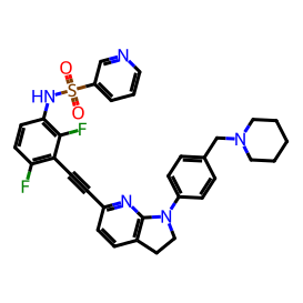 O=S(=O)(Nc1ccc(F)c(C#Cc2ccc3c(n2)N(c2ccc(CN4CCCCC4)cc2)CC3)c1F)c1cccnc1